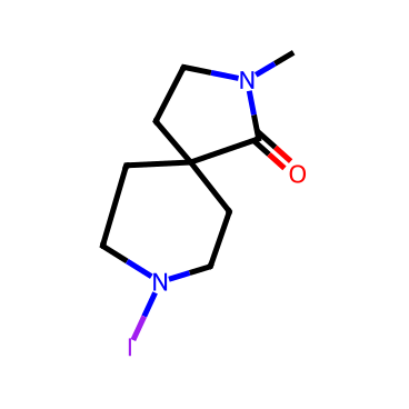 CN1CCC2(CCN(I)CC2)C1=O